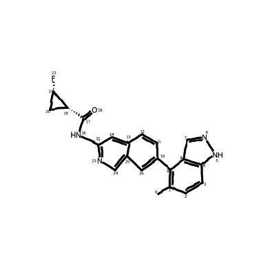 Cc1ccc2[nH]ncc2c1-c1ccc2cc(NC(=O)[C@@H]3C[C@@H]3F)ncc2c1